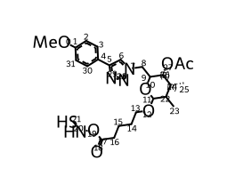 COc1ccc(-c2cn(CC3OC(OCCCCC(=O)ONS)C(C)[C@@H](C)[C@H]3OC(C)=O)nn2)cc1